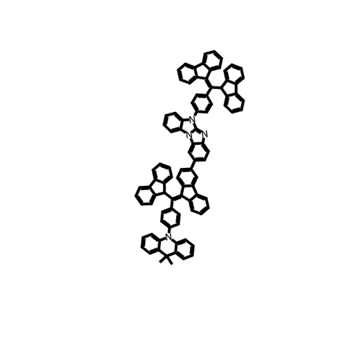 CC1(C)c2ccccc2N(c2ccc(/C(=C3\c4ccccc4-c4cc(-c5ccc6nc7n(-c8ccc(C(=C9c%10ccccc%10-c%10ccccc%109)C9c%10ccccc%10-c%10ccccc%109)cc8)c8ccccc8n7c6c5)ccc43)C3c4ccccc4-c4ccccc43)cc2)c2ccccc21